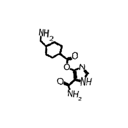 NCC1CCC(C(=O)Oc2nc[nH]c2C(N)=O)CC1